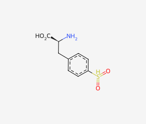 N[C@@H](Cc1ccc([SH](=O)=O)cc1)C(=O)O